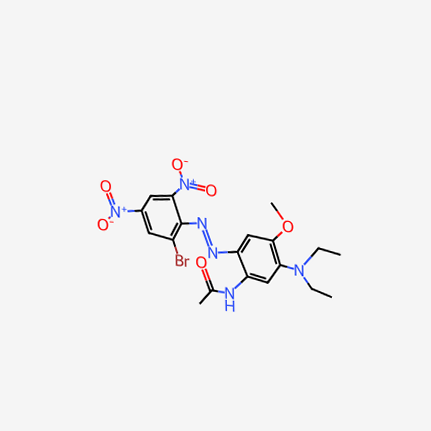 CCN(CC)c1cc(NC(C)=O)c(/N=N/c2c(Br)cc([N+](=O)[O-])cc2[N+](=O)[O-])cc1OC